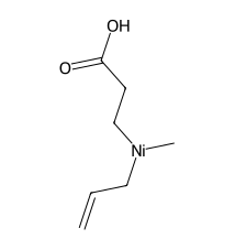 C=C[CH2][Ni]([CH3])[CH2]CC(=O)O